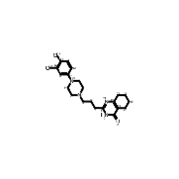 O=c1[nH]c(CCCN2CCN(c3ccc(Cl)c(Cl)c3)CC2)nc2c1CCCC2